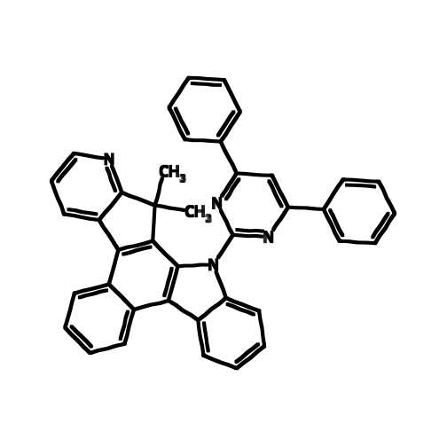 CC1(C)c2ncccc2-c2c1c1c(c3ccccc23)c2ccccc2n1-c1nc(-c2ccccc2)cc(-c2ccccc2)n1